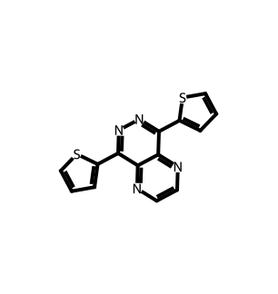 c1csc(-c2nnc(-c3cccs3)c3nccnc23)c1